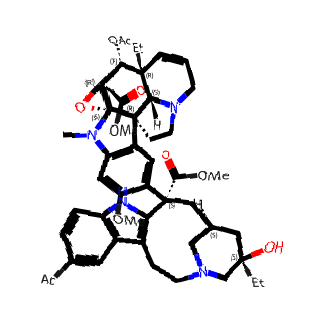 CC[C@]1(O)C[C@H]2CN(CCc3c([nH]c4ccc(C(C)=O)cc34)[C@@](C(=O)OC)(c3cc4c(cc3OC)N(C)[C@@]35O[C@]3(C(=O)OC)[C@H](OC(C)=O)[C@]3(CC)C=CCN6CC[C@]45[C@@H]63)C2)C1